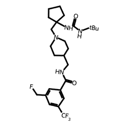 CC(C)(C)NC(=O)NC1(CN2CCC(CNC(=O)c3cc(CF)cc(C(F)(F)F)c3)CC2)CCCC1